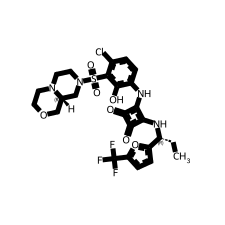 CC[C@@H](Nc1c(Nc2ccc(Cl)c(S(=O)(=O)N3CCN4CCOC[C@H]4C3)c2O)c(=O)c1=O)c1ccc(C(F)(F)F)o1